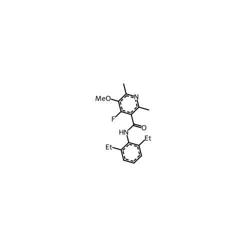 CCc1cccc(CC)c1NC(=O)c1c(C)nc(C)c(OC)c1F